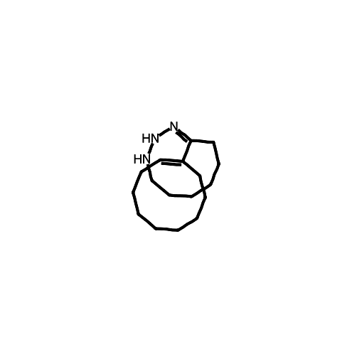 C1=C(/C2=N\NNCCCCCC2)CCCCCCCC/1